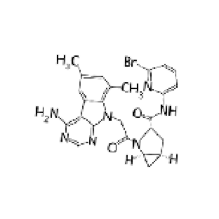 Cc1cc(C)c2c(c1)c1c(N)ncnc1n2CC(=O)N1[C@@H]2C[C@@H]2C[C@H]1C(=O)Nc1cccc(Br)n1